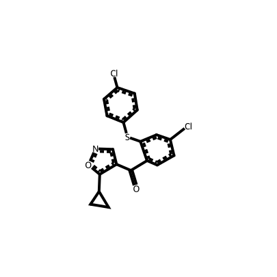 O=C(c1ccc(Cl)cc1Sc1ccc(Cl)cc1)c1cnoc1C1CC1